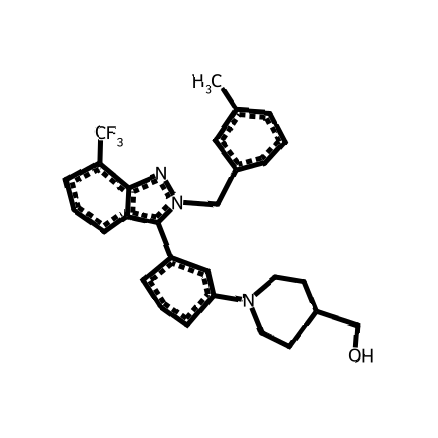 Cc1cccc(Cn2nc3c(C(F)(F)F)cccc3c2-c2cccc(N3CCC(CO)CC3)c2)c1